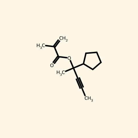 C=C(C)C(=O)OC(C)(C#CC)C1CCCC1